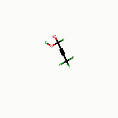 OC(F)(C#CC(F)(F)F)OF